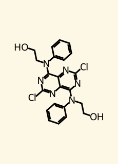 OCCN(c1ccccc1)c1nc(Cl)nc2c(N(CCO)c3ccccc3)nc(Cl)nc12